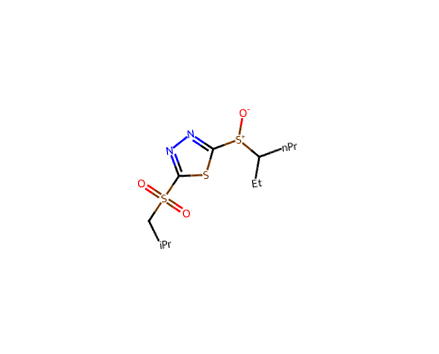 CCCC(CC)[S+]([O-])c1nnc(S(=O)(=O)CC(C)C)s1